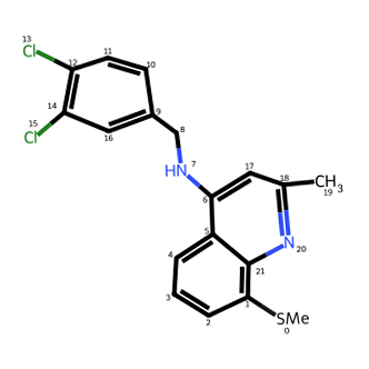 CSc1cccc2c(NCc3ccc(Cl)c(Cl)c3)cc(C)nc12